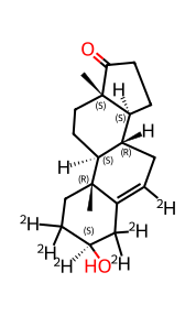 [2H]C1=C2C([2H])([2H])[C@@]([2H])(O)C([2H])([2H])C[C@]2(C)[C@H]2CC[C@]3(C)C(=O)CC[C@H]3[C@@H]2C1